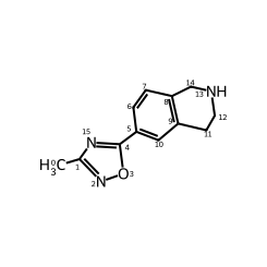 Cc1noc(-c2ccc3c(c2)CCNC3)n1